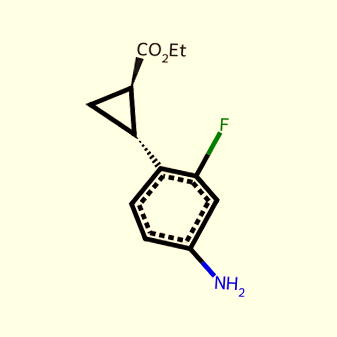 CCOC(=O)[C@@H]1C[C@H]1c1ccc(N)cc1F